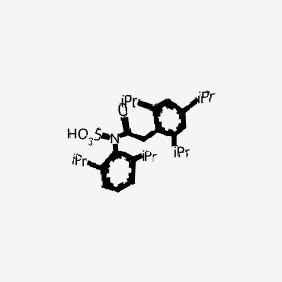 CC(C)c1cc(C(C)C)c(CC(=O)N(c2c(C(C)C)cccc2C(C)C)S(=O)(=O)O)c(C(C)C)c1